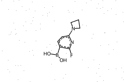 OB(O)c1ccc(N2CCC2)nc1F